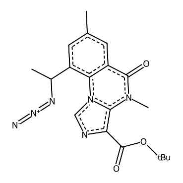 Cc1cc(C(C)N=[N+]=[N-])c2c(c1)c(=O)n(C)c1c(C(=O)OC(C)(C)C)ncn21